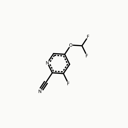 N#Cc1ncc(OC(F)F)cc1F